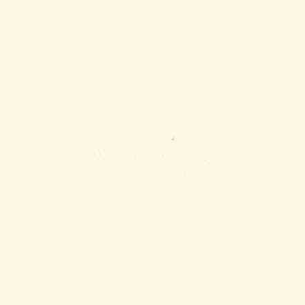 O=POCC(Br)CBr